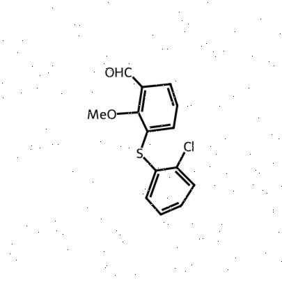 COc1c(C=O)cccc1Sc1ccccc1Cl